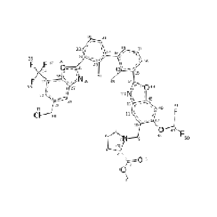 COC(=O)[C@@H]1CCCN1Cc1cc2nc(-c3cccc(-c4cccc(-c5nc6cc(CCl)cc(C(F)(F)F)c6o5)c4C)c3C)oc2cc1OC(F)F